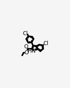 CCOC(=O)c1[nH]c2ccc(Cl)cc2c1-c1ccc(Cl)cc1